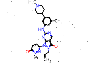 C=CCn1c(=O)c2cnc(Nc3cc(C)cc(C4CCN(C)CC4)c3)nc2n1-c1ccc(=O)n(C(C)C)n1